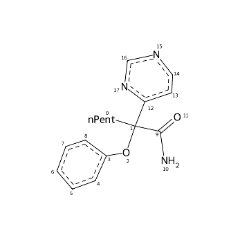 CCCCCC(Oc1ccccc1)(C(N)=O)c1ccncn1